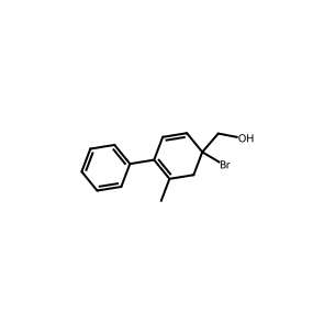 CC1=C(c2ccccc2)C=CC(Br)(CO)C1